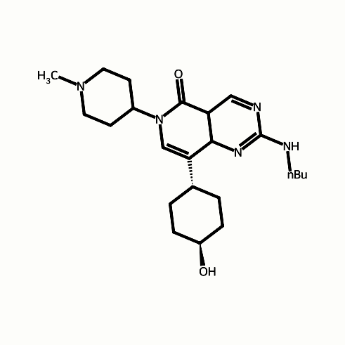 CCCCNC1=NC2C([C@H]3CC[C@H](O)CC3)=CN(C3CCN(C)CC3)C(=O)C2C=N1